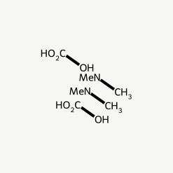 CNC.CNC.O=C(O)O.O=C(O)O